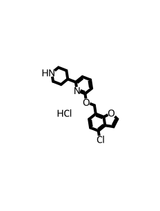 Cl.Clc1ccc(COc2cccc(C3CCNCC3)n2)c2occc12